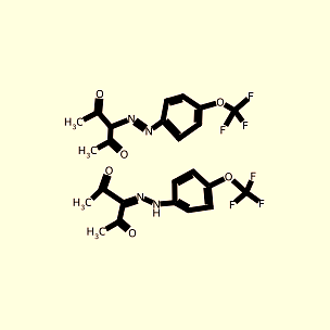 CC(=O)C(=NNc1ccc(OC(F)(F)F)cc1)C(C)=O.CC(=O)C(N=Nc1ccc(OC(F)(F)F)cc1)C(C)=O